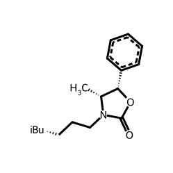 CC[C@@H](C)CCCN1C(=O)O[C@@H](c2ccccc2)[C@H]1C